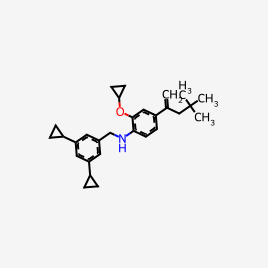 C=C(CC(C)(C)C)c1ccc(NCc2cc(C3CC3)cc(C3CC3)c2)c(OC2CC2)c1